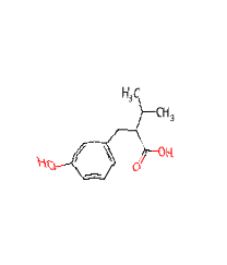 CC(C)C(Cc1cccc(O)c1)C(=O)O